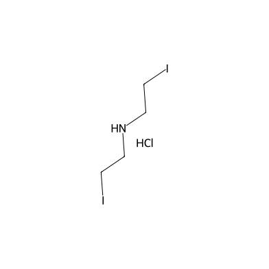 Cl.ICCNCCI